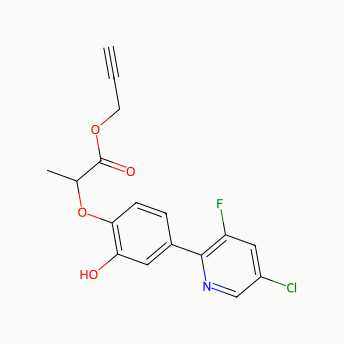 C#CCOC(=O)C(C)Oc1ccc(-c2ncc(Cl)cc2F)cc1O